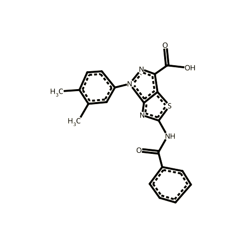 Cc1ccc(-n2nc(C(=O)O)c3sc(NC(=O)c4ccccc4)nc32)cc1C